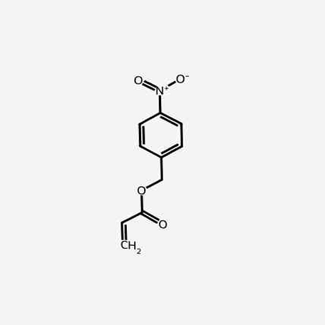 C=CC(=O)OCc1ccc([N+](=O)[O-])cc1